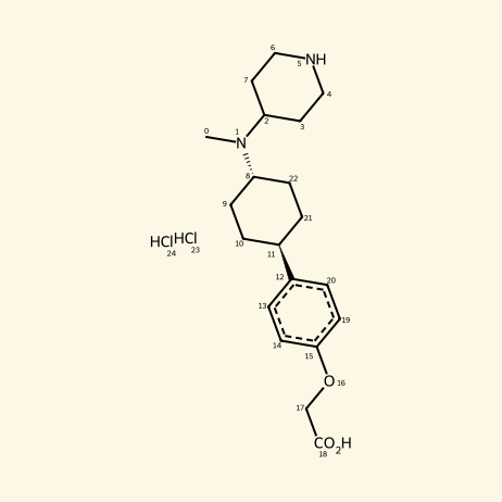 CN(C1CCNCC1)[C@H]1CC[C@H](c2ccc(OCC(=O)O)cc2)CC1.Cl.Cl